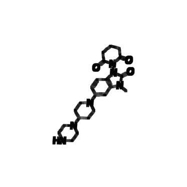 Cn1c(=O)n(N2C(=O)CCCC2=O)c2ccc(N3CCC(N4CCNCC4)CC3)cc21